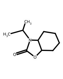 CC(C)N1C(=O)OC2CCCCC21